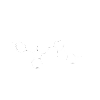 O=C(O)Oc1cccc(-c2cccc(NN=C3C(=O)N(c4ccc(F)cc4)c4ccccc43)c2O)c1